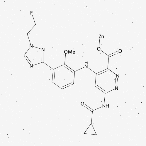 COc1c(Nc2cc(NC(=O)C3CC3)nnc2C(=O)[O][Zn])cccc1-c1ncn(CCF)n1